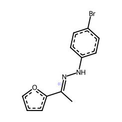 C/C(=N\Nc1ccc(Br)cc1)c1ccco1